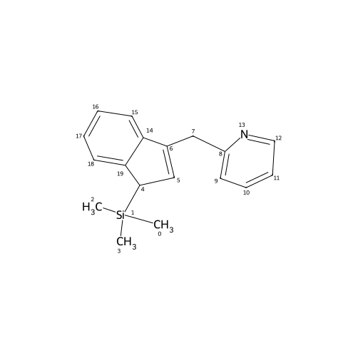 C[Si](C)(C)C1C=C(Cc2ccccn2)c2ccccc21